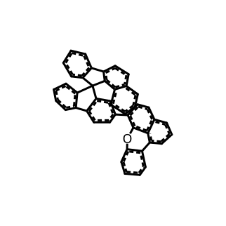 c1ccc2c(c1)Oc1c(-c3ccc4c(c3)C3(c5ccccc5-4)c4ccccc4-c4ccc5ccccc5c43)ccc3cccc-2c13